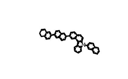 C1=Cc2cc(-c3ccc4cc(-c5ccc6ccc7c(c6c5)c5ccccc5n7-c5ccc6ccccc6c5)ccc4c3)ccc2CC1